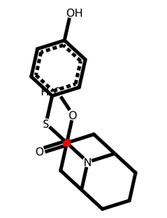 COC(=O)N1C2CCCC1CC(Sc1ccc(O)cc1)C2